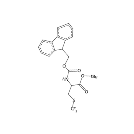 CC(C)(C)OC(=O)C(CSC(F)(F)F)NC(=O)OCC1c2ccccc2-c2ccccc21